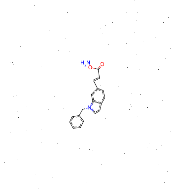 NOC(=O)/C=C/c1ccc2ccn(Cc3ccccc3)c2c1